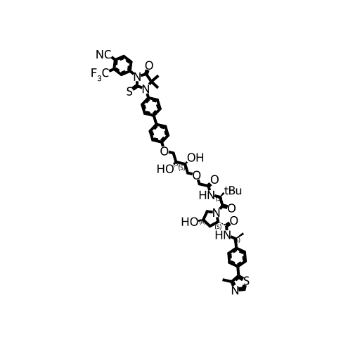 Cc1ncsc1-c1ccc([C@H](C)NC(=O)[C@@H]2C[C@@H](O)CN2C(=O)[C@@H](NC(=O)COC[C@H](O)[C@@H](O)COc2ccc(-c3ccc(N4C(=S)N(c5ccc(C#N)c(C(F)(F)F)c5)C(=O)C4(C)C)cc3)cc2)C(C)(C)C)cc1